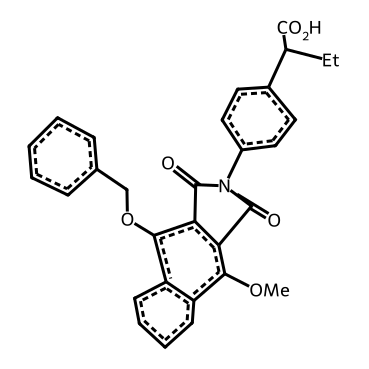 CCC(C(=O)O)c1ccc(N2C(=O)c3c(c(OCc4ccccc4)c4ccccc4c3OC)C2=O)cc1